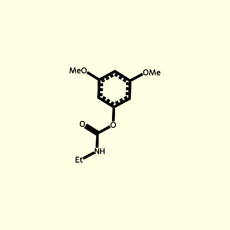 CCNC(=O)Oc1cc(OC)cc(OC)c1